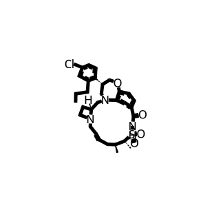 CCCc1cc(Cl)ccc1[C@@H]1COc2ccc3cc2N(C1)C[C@@H]1CCN1C/C=C/C[C@H](C)[C@@H](C)S(=O)(=O)NC3=O